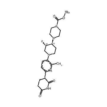 Cc1nc(C2CCC(=O)NC2=O)ccc1N1CC[C@H](N2CCN(C(=O)OC(C)(C)C)CC2)[C@H](F)C1